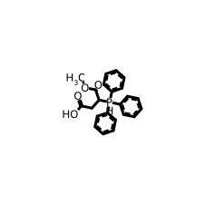 COC(=O)C(CC(=O)O)[PH](c1ccccc1)(c1ccccc1)c1ccccc1